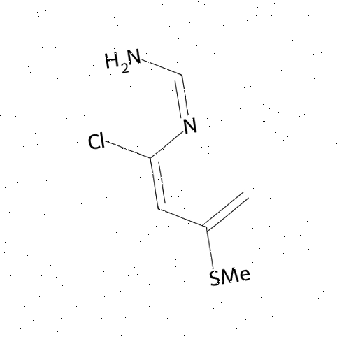 C=C(/C=C(Cl)\N=C/N)SC